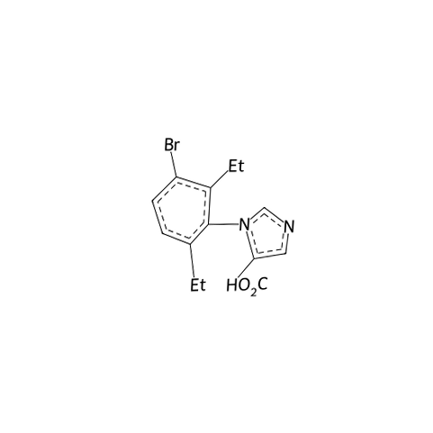 CCc1ccc(Br)c(CC)c1-n1cncc1C(=O)O